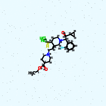 CCOC(=O)C1CCN(CC=C2CN(C(C(=O)C3CC3)c3ccccc3F)CCC2S)CC1.Cl.Cl